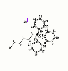 CCCCCC[As+](c1ccccc1)(c1ccccc1)c1ccccc1.[I-]